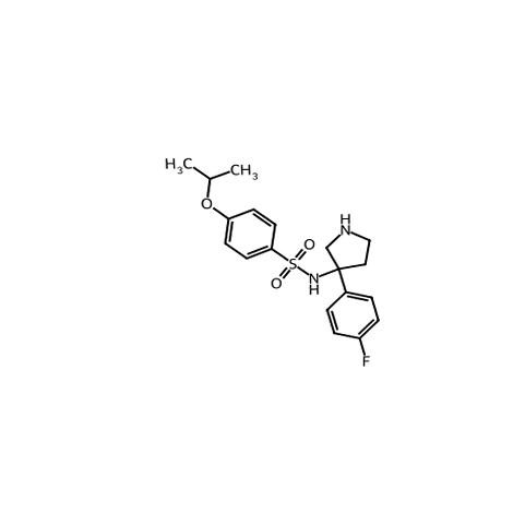 CC(C)Oc1ccc(S(=O)(=O)NC2(c3ccc(F)cc3)CCNC2)cc1